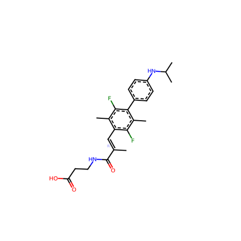 C/C(=C\c1c(C)c(F)c(-c2ccc(NC(C)C)cc2)c(C)c1F)C(=O)NCCC(=O)O